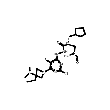 CCC1(N(C)C)CN(c2nc(Cl)nc(NNC(=O)[C@H](CC3CCCC3)CN(O)C=O)c2F)C1